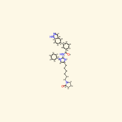 O=C(Nc1nc(CCCCCCN2CCCC2=O)cn1-c1ccccc1)c1cccc(-c2ccc3[nH]ncc3c2)c1